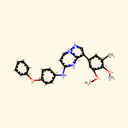 COc1cc(-c2cnn3ccc(Nc4ccc(Oc5ccccc5)cc4)nc23)cc(C)c1OC